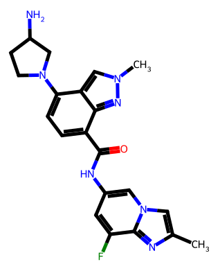 Cc1cn2cc(NC(=O)c3ccc(N4CCC(N)C4)c4cn(C)nc34)cc(F)c2n1